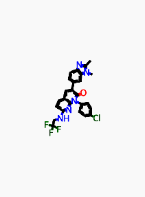 Cc1nc2ccc(-c3cc4ccc(NCC(F)(F)F)nc4n(-c4ccc(Cl)cc4)c3=O)cc2n1C